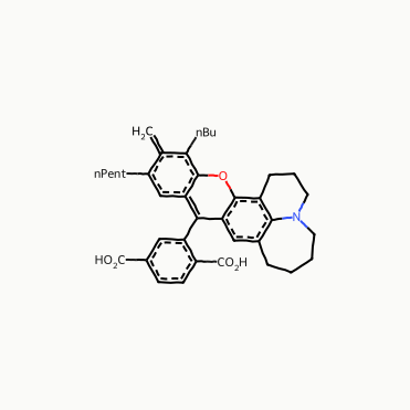 C=c1c(CCCCC)cc2c(c1CCCC)Oc1c(cc3c4c1CCCN4CCCC3)C=2c1cc(C(=O)O)ccc1C(=O)O